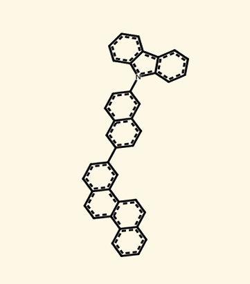 c1ccc2c(c1)ccc1c3cc(-c4ccc5cc(-n6c7ccccc7c7ccccc76)ccc5c4)ccc3ccc21